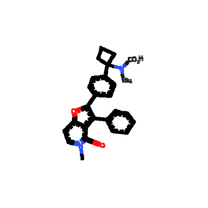 Cn1ccc2oc(-c3ccc(C4(N(C(=O)O)C(C)(C)C)CCC4)cc3)c(-c3ccccc3)c2c1=O